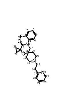 O=C1N(c2ccccc2F)CC2(CCN(CCc3ccccn3)CC2)OC12CC2